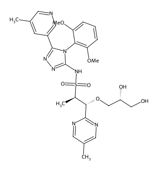 COc1cccc(OC)c1-n1c(NS(=O)(=O)[C@H](C)[C@H](OC[C@H](O)CO)c2ncc(C)cn2)nnc1-c1cncc(C)c1